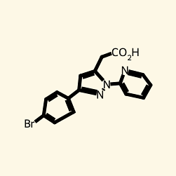 O=C(O)Cc1cc(-c2ccc(Br)cc2)nn1-c1ccccn1